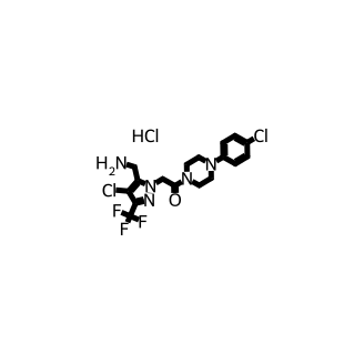 Cl.NCc1c(Cl)c(C(F)(F)F)nn1CC(=O)N1CCN(c2ccc(Cl)cc2)CC1